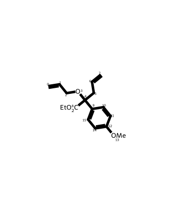 C=CCOC(CC=C)(C(=O)OCC)c1ccc(OC)cc1